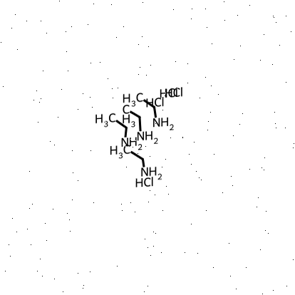 CCN.CCN.CCN.CCN.Cl.Cl.Cl.Cl